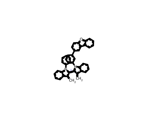 C=c1/c(=c2\c(=C)c3ccccc3n2-c2cccc(-c3ccc4oc5ccccc5c4c3)c2)n(-c2ccccc2)c2ccccc12